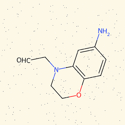 Nc1ccc2c(c1)N(CC=O)CCO2